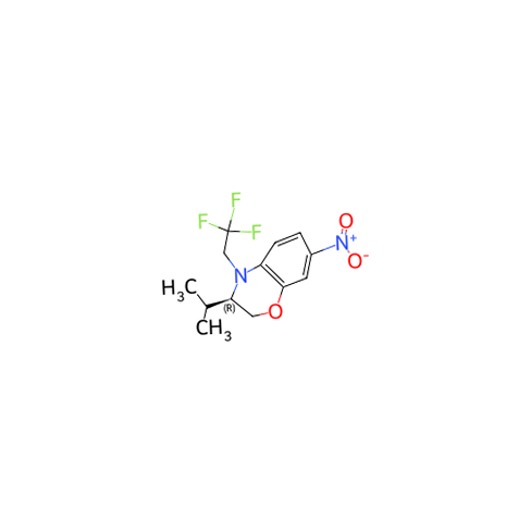 CC(C)[C@@H]1COc2cc([N+](=O)[O-])ccc2N1CC(F)(F)F